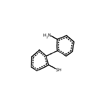 Nc1ccccc1-c1ccccc1S